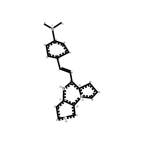 CN(C)c1ccc(/C=C/c2nc3ccccc3n3cccc23)cc1